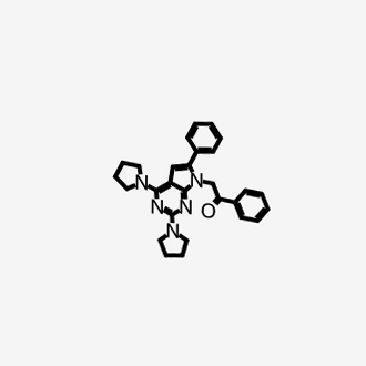 O=C(Cn1c(-c2ccccc2)cc2c(N3CCCC3)nc(N3CCCC3)nc21)c1ccccc1